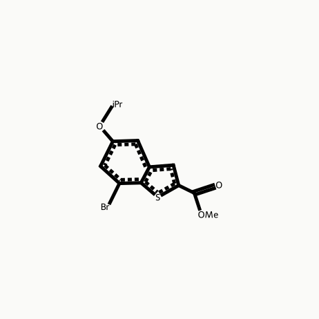 COC(=O)c1cc2cc(OC(C)C)cc(Br)c2s1